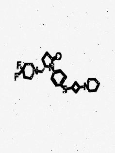 O=C1CC[C@@H](CN2CCC(F)(F)CC2)N1c1ccc(SC2CC(N3CCCCC3)C2)cc1